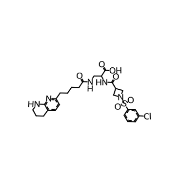 O=C(CCCCc1ccc2c(n1)NCCC2)NCC(NC(=O)C1CN(S(=O)(=O)c2cccc(Cl)c2)C1)C(=O)O